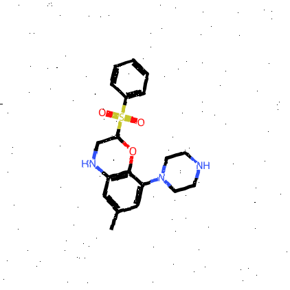 Cc1cc2c(c(N3CCNCC3)c1)OC(S(=O)(=O)c1ccccc1)CN2